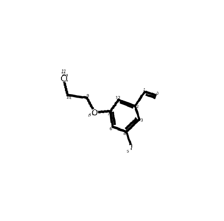 C=Cc1cc(I)cc(OCCCl)c1